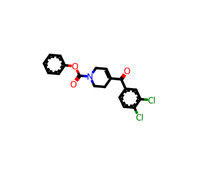 O=C(C1=CCN(C(=O)Oc2ccccc2)CC1)c1ccc(Cl)c(Cl)c1